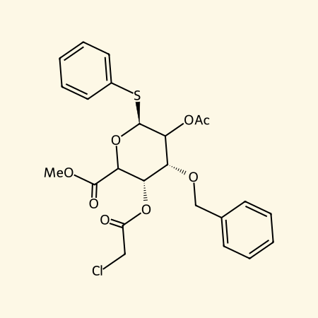 COC(=O)C1O[C@@H](Sc2ccccc2)C(OC(C)=O)[C@H](OCc2ccccc2)[C@@H]1OC(=O)CCl